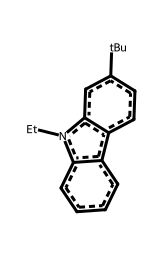 CCn1c2ccccc2c2ccc(C(C)(C)C)cc21